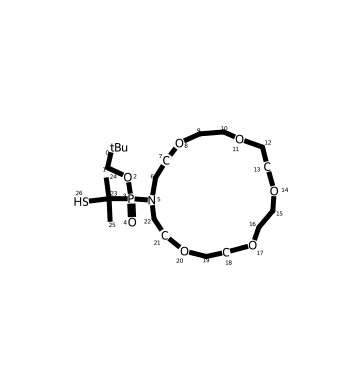 CC(C)(C)COP(=O)(N1CCOCCOCCOCCOCCOCC1)C(C)(C)S